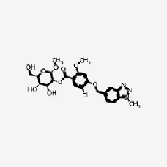 COc1cc(OCc2ccc3c(c2)nnn3C)c(Cl)cc1C(=O)O[C@H]1[C@@H](OC)O[C@H](CO)[C@@H](O)[C@@H]1O